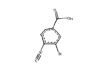 [C-]#[N+]c1ccc(C(=O)O)cc1Br